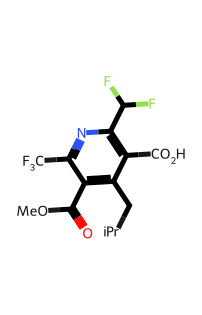 COC(=O)c1c(C(F)(F)F)nc(C(F)F)c(C(=O)O)c1CC(C)C